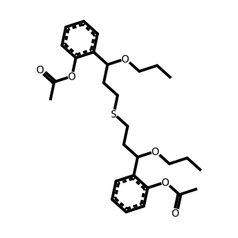 CCCOC(CCSCCC(OCCC)c1ccccc1OC(C)=O)c1ccccc1OC(C)=O